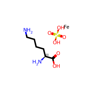 NCCCC[C@H](N)C(=O)O.O=S(=O)(O)O.[Fe]